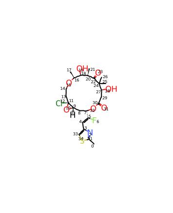 Cc1nc(C=C(F)[C@@H]2C[C@@H]3O[C@]3(Cl)CCO[C@@H](C)[C@@H](O)[C@@H](C)C(=O)C(C)(C)[C@@H](O)CC(=O)O2)cs1